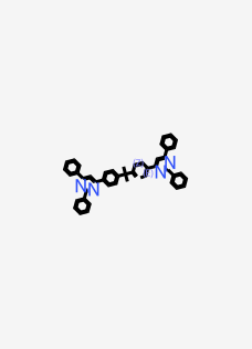 C=C(/C=C\C(=C/C)c1cc(-c2ccccc2)nc(-c2ccccc2)n1)C(C)(C)c1ccc(-c2cc(-c3ccccc3)nc(-c3ccccc3)n2)cc1